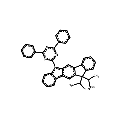 CCCCCCC(C)C1(C(C)CCCCCC)c2ccccc2-c2cc3c(cc21)c1ccccc1n3-c1nc(-c2ccccc2)nc(-c2ccccc2)n1